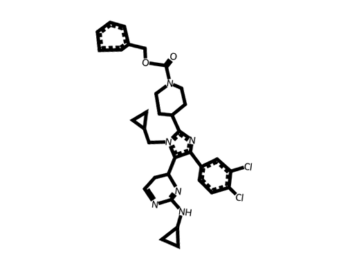 O=C(OCc1ccccc1)N1CCC(c2nc(-c3ccc(Cl)c(Cl)c3)c(C3CC=NC(NC4CC4)=N3)n2CC2CC2)CC1